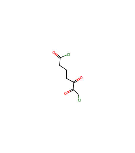 O=C(Cl)CCCC(=O)C(=O)CCl